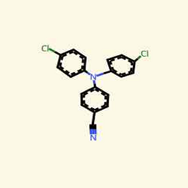 N#Cc1ccc(N(c2ccc(Cl)cc2)c2ccc(Cl)cc2)cc1